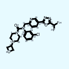 O=C(N1CCN(C2COC2)CC1)N(Cc1ccc(-c2nnc(C(F)F)o2)cn1)c1cccc(Cl)c1